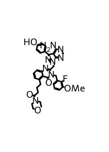 COc1cccc(Cn2c(Cn3nc(-c4ccc(O)cc4)c4c(N)ncnc43)nc3cccc(CCCC(=O)N4CCOCC4)c3c2=O)c1F